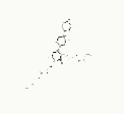 CCCCCCCCOc1ccc(-c2ccc(-c3ccccc3)cc2)c(OCCCC(C)CC)c1F